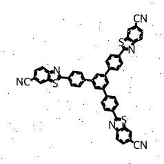 N#Cc1ccc2nc(-c3ccc(-c4cc(-c5ccc(-c6nc7ccc(C#N)cc7s6)cc5)cc(-c5ccc(-c6nc7ccc(C#N)cc7s6)cc5)c4)cc3)sc2c1